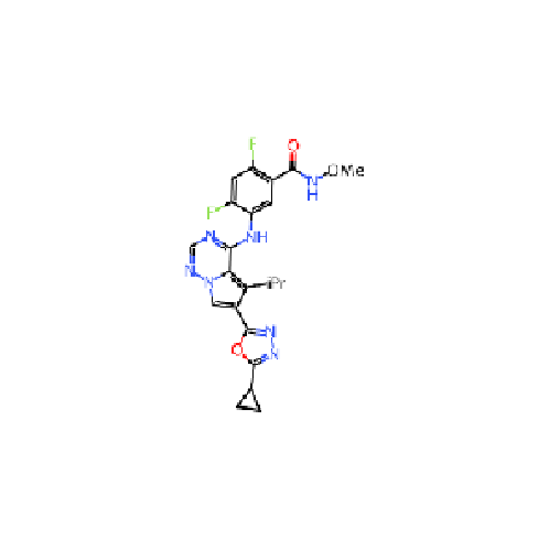 CONC(=O)c1cc(Nc2ncnn3cc(-c4nnc(C5CC5)o4)c(C(C)C)c23)c(F)cc1F